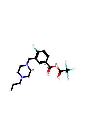 CCCN1CCN(Cc2cc(C(=O)OC(=O)C(F)(F)F)ccc2F)CC1